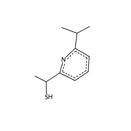 CC(C)c1cccc(C(C)S)n1